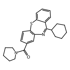 O=C(c1ccc2c(c1)N=C(C1CCCCC1)c1ccccc1S2)N1CCCCC1